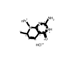 CCCN1c2nc(N)[nH]c(=O)c2C=CC1C.Cl